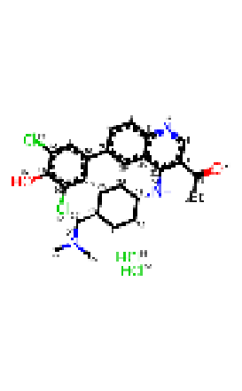 CCC(=O)c1cnc2ccc(-c3cc(Cl)c(O)c(Cl)c3)cc2c1N[C@H]1CC[C@H](CN(C)C)CC1.Cl.Cl